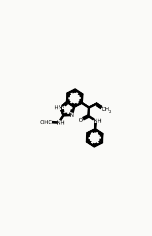 C=CC(C(=O)Nc1ccccc1)c1cccc2[nH]c(NC=O)nc12